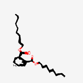 CCCCCCCCOC(=O)c1ccccc1C(=O)OCCCCCCCC.[Fe]